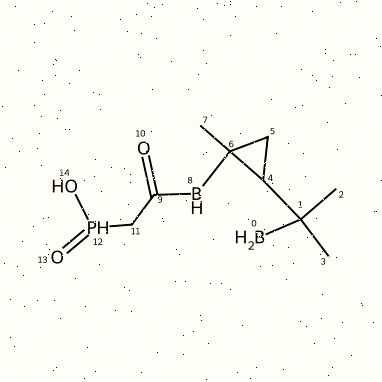 BC(C)(C)C1CC1(C)BC(=O)C[PH](=O)O